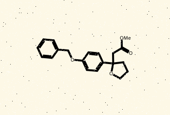 COC(=O)CC1(c2ccc(OCc3ccccc3)cc2)CCCO1